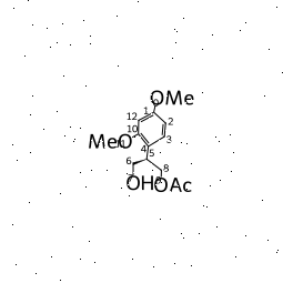 COc1ccc([C@H](CO)COC(C)=O)c(OC)c1